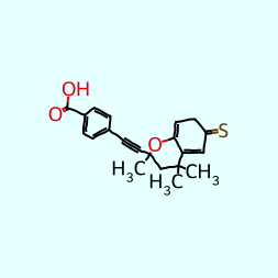 CC1(C#Cc2ccc(C(=O)O)cc2)CC(C)(C)C2=CC(=S)CC=C2O1